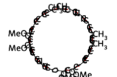 COCOC12CCC(OCOC)(CC1)c1ccc(cc1)-c1ccc(nc1)-c1ccc(cn1)-c1ccc(cc1)C1(OCOC)CCC(OCOC)(CC1)c1ccc(cc1)-c1ccc(cc1)-c1ccc(cc1)C1(C)CCC(C)(CC1)c1ccc(cc1)-c1ccc(nc1)-c1ccc(cn1)-c1ccc(cc1)C1(C)CCC(C)(CC1)c1ccc(cc1)-c1ccc(cc1)-c1ccc2cc1